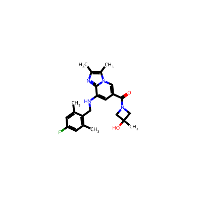 Cc1cc(F)cc(C)c1CNc1cc(C(=O)N2CC(C)(O)C2)cn2c(C)c(C)nc12